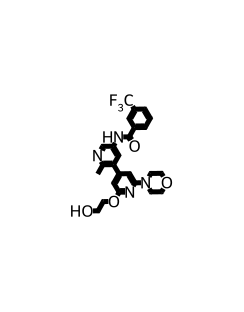 Cc1ncc(NC(=O)c2cccc(C(F)(F)F)c2)cc1-c1cc(OCCO)nc(N2CCOCC2)c1